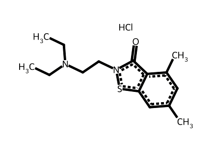 CCN(CC)CCn1sc2cc(C)cc(C)c2c1=O.Cl